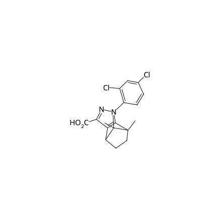 CC12CCC(c3c(C(=O)O)nn(-c4ccc(Cl)cc4Cl)c31)C2(C)C